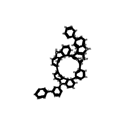 c1ccc(-c2cccc(-n3c4ccc5cc4c4c(cccc43)c3cccc(c3)c3nc4oc6ccc(-c7ccccc7)cc6c4c(n3)c3cccc4oc6ccc5cc6c43)c2)cc1